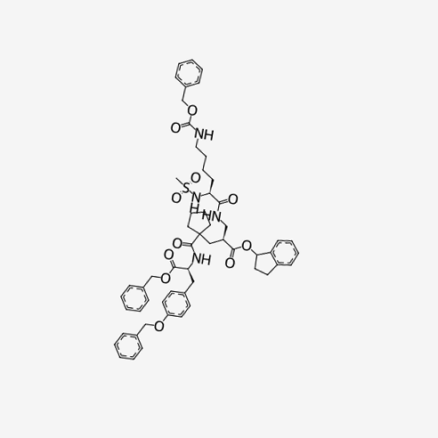 CS(=O)(=O)N[C@@H](CCCCNC(=O)OCc1ccccc1)C(=O)NC[C@H](CC1(C(=O)N[C@@H](Cc2ccc(OCc3ccccc3)cc2)C(=O)OCc2ccccc2)CCCC1)C(=O)OC1CCc2ccccc21